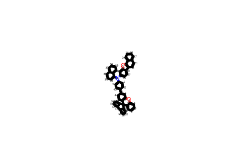 c1ccc2c(c1)Oc1cc(-c3ccc(N(c4ccc5c(c4)oc4c6ccccc6ccc54)c4cccc5ccccc45)cc3)ccc1C21c2ccccc2-c2ccccc21